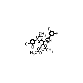 CC(=O)OCC1OC(Sc2ccc(Cl)c(Cl)c2)C(OC(C)=O)C(n2cc(-c3cc(F)cc(F)c3)nn2)C1OC(C)=O